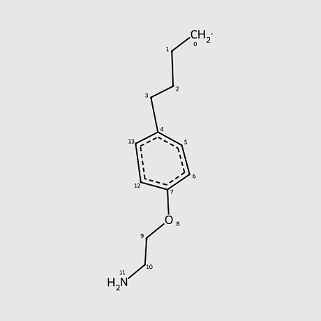 [CH2]CCCc1ccc(OCCN)cc1